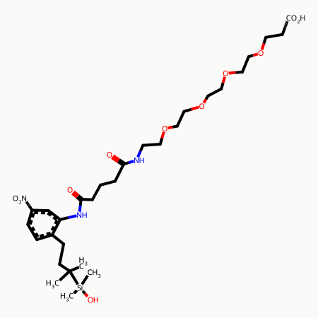 CC(C)(CCc1ccc([N+](=O)[O-])cc1NC(=O)CCCC(=O)NCCOCCOCCOCCOCCC(=O)O)[Si](C)(C)O